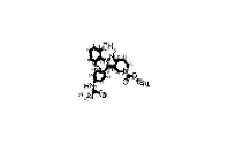 Cc1cccc(C(C)C)c1-n1nc2c(c1-c1ccc(NC(N)=O)cc1)CN(C(=O)OC(C)(C)C)CC2